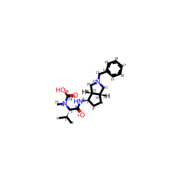 CC(C)[C@@H](C(=O)N[C@@H]1CC[C@H]2CN(Cc3ccccc3)C[C@H]21)N(C)C(=O)O